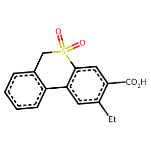 CCc1cc2c(cc1C(=O)O)S(=O)(=O)Cc1ccccc1-2